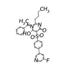 CCCCc1nc(=O)c(S(=O)(=O)c2ccc(-c3cncc(F)c3)cc2)c(O)n1[C@H](C)c1ccccc1